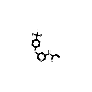 C=CC(=O)Nc1cncc(Oc2ccc(C(F)(F)F)cc2)c1